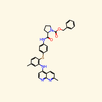 Cc1ccc(Sc2ccc(NC(=O)C3CCCN3C(=O)OCc3ccccc3)cc2)c(Nc2ccnc3nc(C)ccc23)c1